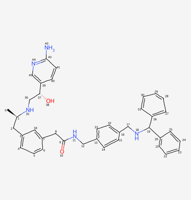 C[C@H](Cc1cccc(CC(=O)NCc2ccc(CNC(c3ccccc3)c3ccccc3)cc2)c1)NC[C@@H](O)c1ccc(N)nc1